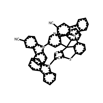 N#Cc1ccc2c(c1)c1ccccc1n2-c1cnc2c(c1)C1(c3ccc(-n4c5ccccc5c5ccccc54)cc3Sc3cccc(-n4c5ccccc5c5cc(C#N)ccc54)c31)c1cccnc1-2